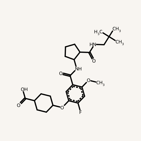 COc1cc(F)c(OC2CCC(C(=O)O)CC2)cc1C(=O)NC1CCCC1C(=O)NCC(C)(C)C